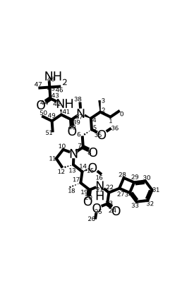 CC[C@H](C)[C@@H]([C@@H](CC(=O)N1CCC[C@H]1[C@H](OC)[C@@H](C)C(=O)NC(C(=O)OC)C1Cc2ccccc21)OC)N(C)C(=O)[C@@H](NC(=O)C(C)(C)N)C(C)C